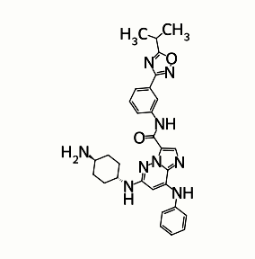 CC(C)c1nc(-c2cccc(NC(=O)c3cnc4c(Nc5ccccc5)cc(N[C@H]5CC[C@H](N)CC5)nn34)c2)no1